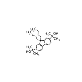 CCCCC1(CCCC)c2cc(C(C)(C)O)ccc2-c2ccc(C(C)(C)O)cc21